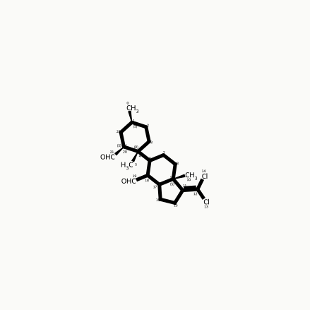 C[C@H]1CC[C@](C)(C2CC[C@]3(C)C(=C(Cl)Cl)CCC3C2C=O)[C@@H](C=O)C1